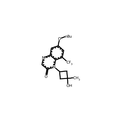 CCCCOc1cc(C(F)(F)F)c2c(c1)ncc(=O)n2C1CC(C)(O)C1